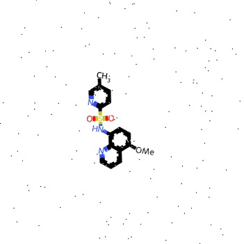 COc1ccc(NS(=O)(=O)c2ccc(C)cn2)c2ncccc12